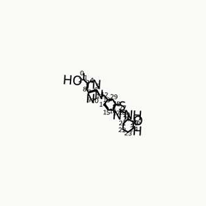 CC(O)c1cnc2c(c1)ncn2Cc1ccc2nc(NC3CCCCC3O)sc2c1